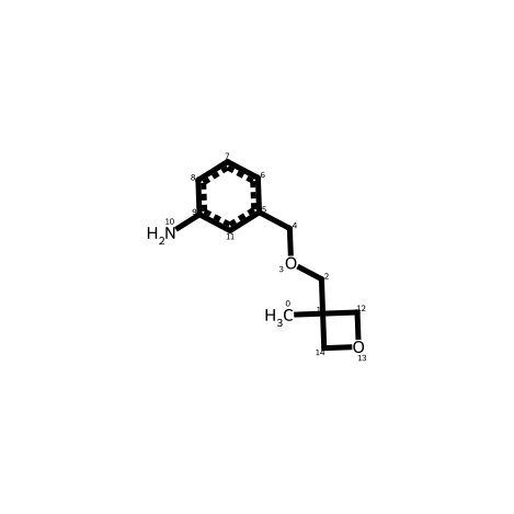 CC1(COCc2cccc(N)c2)COC1